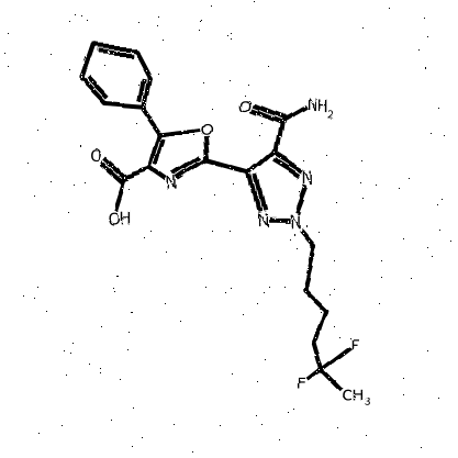 CC(F)(F)CCCCn1nc(C(N)=O)c(-c2nc(C(=O)O)c(-c3ccccc3)o2)n1